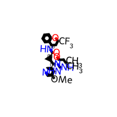 COc1cncc([C@H](C2C[C@H]2C(=O)N[C@H]2CC(C(F)(F)F)Oc3ccccc32)N2C(=N)NC(C)(C)CC2=O)c1